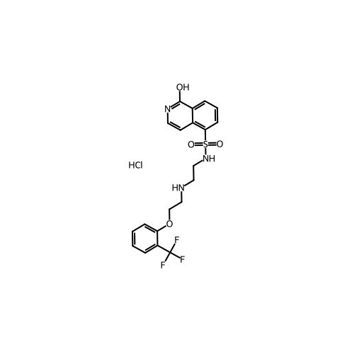 Cl.O=S(=O)(NCCNCCOc1ccccc1C(F)(F)F)c1cccc2c(O)nccc12